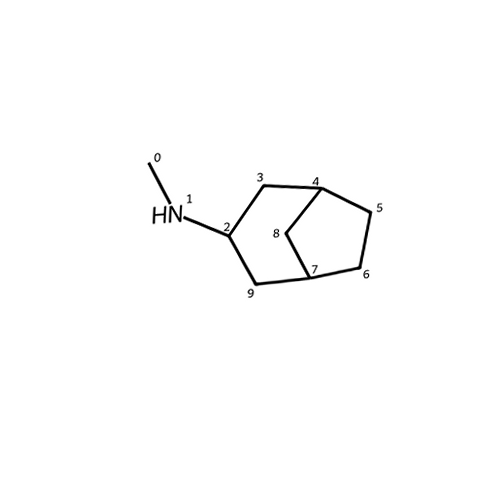 CNC1CC2CCC(C2)C1